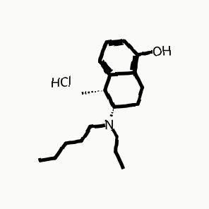 CCCCCN(CCC)[C@H]1CCc2c(O)cccc2[C@H]1C.Cl